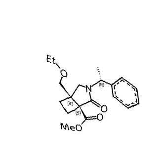 CCOC[C@]12CC[C@@]1(C(=O)OC)C(=O)N([C@H](C)c1ccccc1)C2